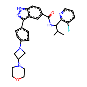 CC(C)C(NC(=O)c1ccc2[nH]nc(-c3ccc(N4CC(N5CCOCC5)C4)cc3)c2c1)c1ncccc1F